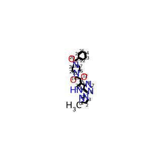 Cc1ccn(-c2ncnc3c(C(=O)C(=O)N4CCN(C(=O)c5ccccc5)CC4)c[nH]c23)n1